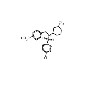 O=C(O)c1ccc(CN(C2CCCC(C(F)(F)F)C2)S(=O)(=O)c2ccc(Cl)nc2)cc1